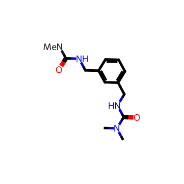 CNC(=O)NCc1cccc(CNC(=O)N(C)C)c1